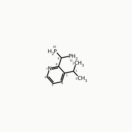 CC(C)c1cccnc1C(P)P